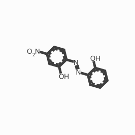 O=[N+]([O-])c1ccc(N=Nc2ccccc2O)c(O)c1